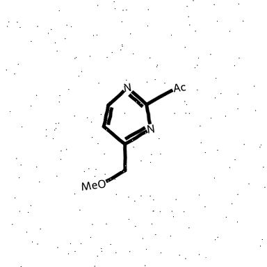 COCc1ccnc(C(C)=O)n1